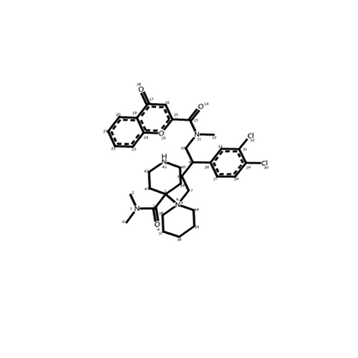 CN(C)C(=O)C1([N+]2(CCC(CN(C)C(=O)c3cc(=O)c4ccccc4o3)c3ccc(Cl)c(Cl)c3)CCCCC2)CCNCC1